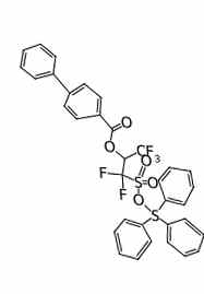 O=C(OC(C(F)(F)F)C(F)(F)S(=O)(=O)OS(c1ccccc1)(c1ccccc1)c1ccccc1)c1ccc(-c2ccccc2)cc1